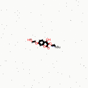 CCCC/C=C/Oc1c(O)c2ccc(OCCO)cc2oc1=O